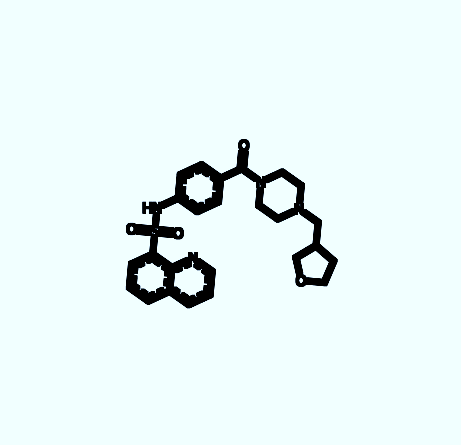 O=C(c1ccc(NS(=O)(=O)c2cccc3cccnc23)cc1)N1CCN(CC2CCOC2)CC1